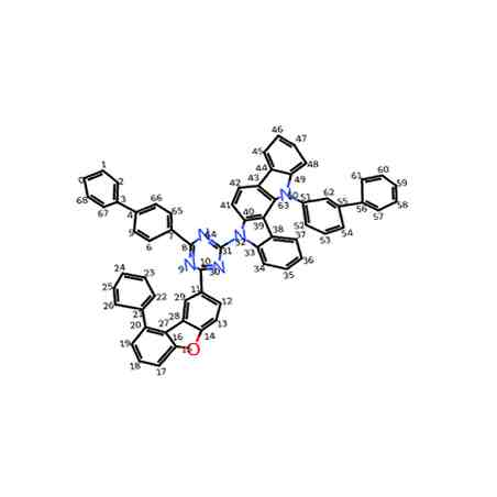 c1ccc(-c2ccc(-c3nc(-c4ccc5oc6cccc(-c7ccccc7)c6c5c4)nc(-n4c5ccccc5c5c4ccc4c6ccccc6n(-c6cccc(-c7ccccc7)c6)c45)n3)cc2)cc1